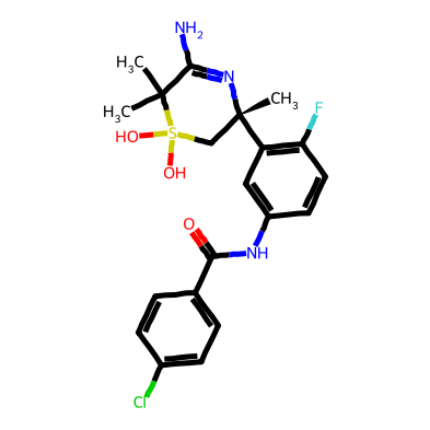 CC1(C)C(N)=N[C@](C)(c2cc(NC(=O)c3ccc(Cl)cc3)ccc2F)CS1(O)O